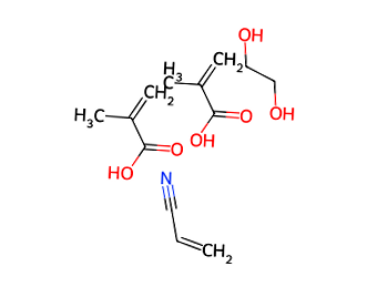 C=C(C)C(=O)O.C=C(C)C(=O)O.C=CC#N.OCCO